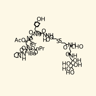 CCCC(=O)OCN(C(=O)[C@@H](NC(=O)[C@H]1CCCCN1C)C(C)CC)[C@H](C[C@@H](OC(C)=O)c1nc(C(=O)N[C@@H](Cc2ccc(O)cc2)C[C@H](C)C(=O)NNC(=O)OCCSSCCC(=O)NC(C=O)CCC(=O)NCC(O)C(O)C(O)C(O)CO)cs1)C(C)C